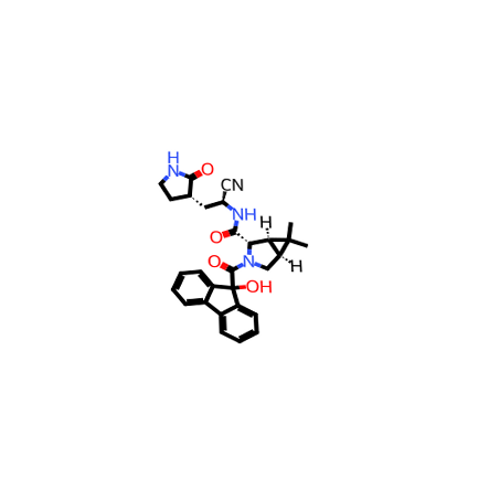 CC1(C)[C@@H]2[C@@H](C(=O)N[C@H](C#N)C[C@@H]3CCNC3=O)N(C(=O)C3(O)c4ccccc4-c4ccccc43)C[C@@H]21